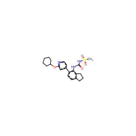 CS(=O)(=O)NC(=O)Nc1c(-c2ccnc(OC3CCCCC3)c2)ccc2c1CCC2